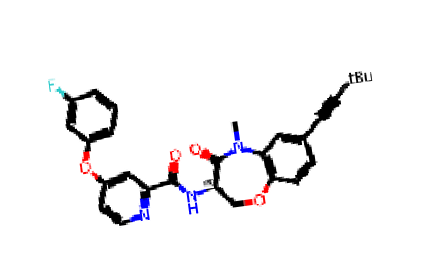 CN1C(=O)[C@H](NC(=O)c2cc(Oc3cccc(F)c3)ccn2)COc2ccc(C#CC(C)(C)C)cc21